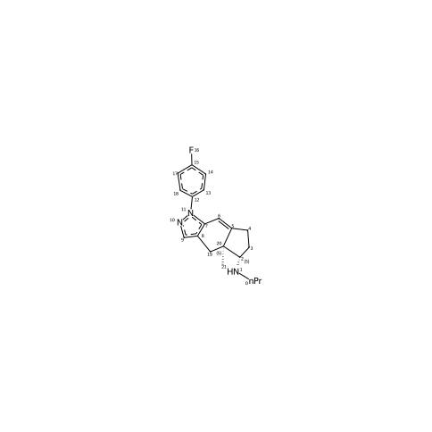 CCCN[C@H]1CCC2=Cc3c(cnn3-c3ccc(F)cc3)C[C@@]21C